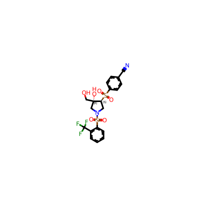 N#Cc1ccc(S(=O)(=O)[C@H]2CN(S(=O)(=O)c3ccccc3C(F)(F)F)C[C@@]2(O)CO)cc1